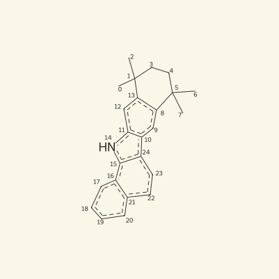 CC1(C)CCC(C)(C)c2cc3c(cc21)[nH]c1c2ccccc2ccc31